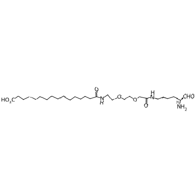 N[C@H](C=O)CCCCNC(=O)COCCOCCNC(=O)CCCCCCCCCCCCCCC(=O)O